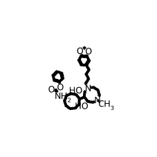 CN1CCCN(CCCCc2ccc3c(c2)OCO3)CC(C2CCCCCCCC2O)C(O)C1.NC(=O)Oc1ccccc1